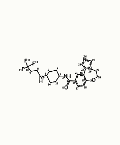 O=C(NC1CCC(NCCC(F)(F)F)CC1)c1ccc2c(c1)-c1cncn1CCO2